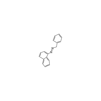 c1ccc(CN=Nc2cccc3ccccc23)cc1